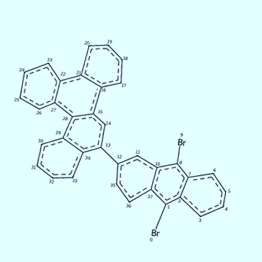 Brc1c2ccccc2c(Br)c2cc(-c3cc4c5ccccc5c5ccccc5c4c4ccccc34)ccc12